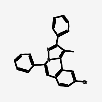 Cc1c(-c2ccccc2)nn2c(-c3ccccc3)cc3ccc(Br)cc3c12